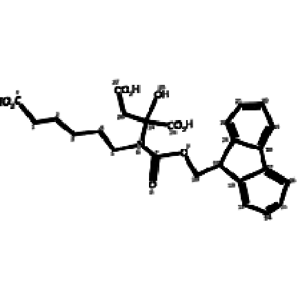 O=C(O)CCCCCN(C(=O)OCC1c2ccccc2-c2ccccc21)C(O)(CC(=O)O)C(=O)O